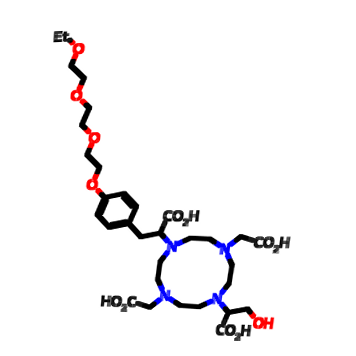 CCOCCOCCOCCOc1ccc(CC(C(=O)O)N2CCN(CC(=O)O)CCN(C(CO)C(=O)O)CCN(CC(=O)O)CC2)cc1